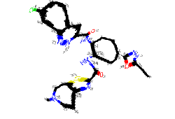 Cc1nnc([C@H]2CC[C@H](NC(=O)c3cc4ccc(Cl)cc4nn3)[C@@H](NC(=O)c3nc4c(s3)CN(C)CC4)C2)o1